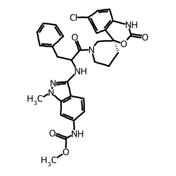 COC(=O)Nc1ccc2c(NC(Cc3ccccc3)C(=O)N3CCC[C@@]4(C3)OC(=O)Nc3ccc(Cl)cc34)nn(C)c2c1